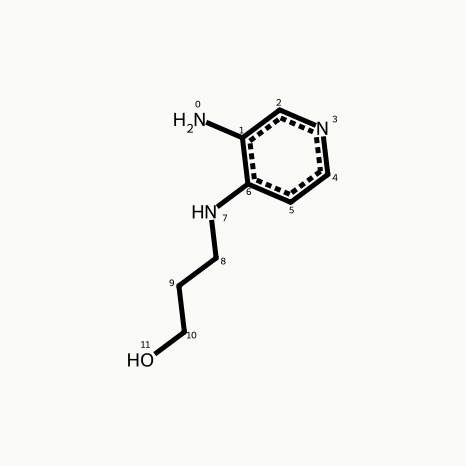 Nc1cnccc1NCCCO